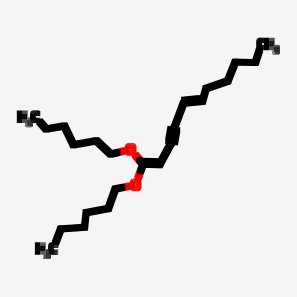 CCCCC/C=C/C#CC=C(OCCCCCC)OCCCCCC